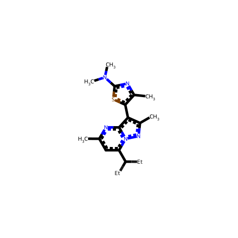 CCC(CC)c1cc(C)nc2c(-c3sc(N(C)C)nc3C)c(C)nn12